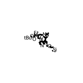 CCN(C(=O)OC(C)(C)C)[C@H]1CCCN(c2ccnc3c2c(-c2cnn(C)c2)cn3COCC[Si](C)(C)C)C1